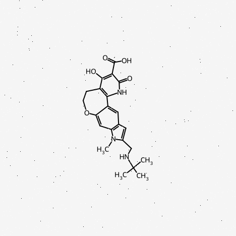 Cn1c(CNC(C)(C)C)cc2cc3c(cc21)OCCc1c-3[nH]c(=O)c(C(=O)O)c1O